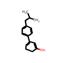 CC(C)Cc1ccc(C2=CCCC(O)=C2)cc1